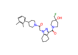 Cc1cccc(C2CCN(C(=O)Cn3nc(C(=O)N4CCC(O)(CF)CC4)c4c3CCCC4)CC2)c1C